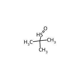 CC(C)(C)[SH]=O